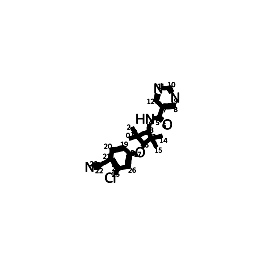 CC1(C)C(NC(=O)c2cncnc2)C(C)(C)C1Oc1ccc(C#N)c(Cl)c1